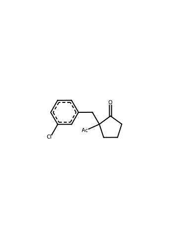 CC(=O)C1(Cc2cccc(Cl)c2)CCCC1=O